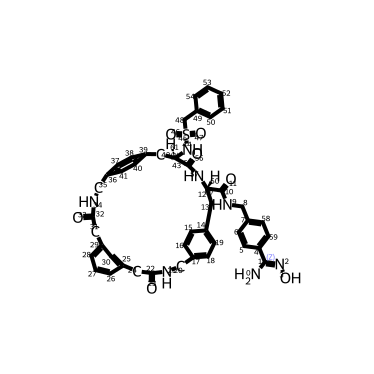 N/C(=N\O)c1ccc(CNC(=O)[C@@H]2Cc3ccc(cc3)CNC(=O)Cc3cccc(c3)CC(=O)NCc3ccc(cc3)C[C@@H](NS(=O)(=O)Cc3ccccc3)C(=O)N2)cc1